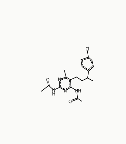 CC(=O)Nc1nc(C)c(CCC(C)c2ccc(Cl)cc2)c(NC(C)=O)n1